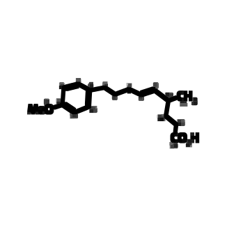 COc1ccc(CC[CH]C=CC(C)CCC(=O)O)cc1